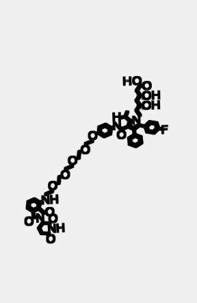 CC(C)c1c(C(=O)Nc2ccc(OCCOCCOCCOCCOCCNc3cccc4c3C(=O)N(C3CCC(=O)NC3=O)C4=O)cc2)c(-c2ccccc2)c(-c2ccc(F)cc2)n1CC[C@@H](O)C[C@@H](O)CC(=O)O